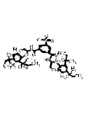 CCC(NC(=O)c1cc(C(=O)NC(CC)Oc2ccc(C(C)(C)CC)cc2C(C)(C)CC)cc(S(=O)(=O)Cl)c1)Oc1ccc(C(C)(C)CC)cc1C(C)(C)CC